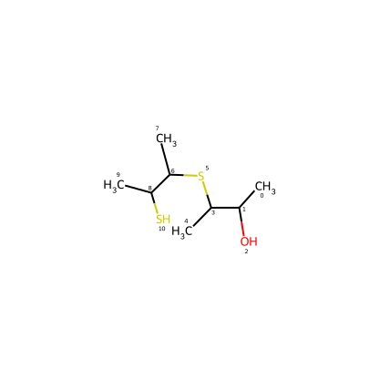 CC(O)C(C)SC(C)C(C)S